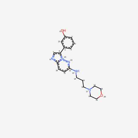 Oc1cccc(-c2cnc3ccc(NCCCN4CCOCC4)nn23)c1